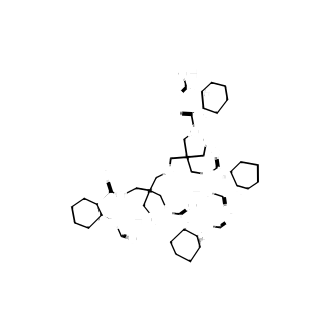 CCC(COCC(CC)(COC(=O)[C@H]1CCCC[C@H]1C(=O)O)COC(=O)[C@@H]1CCCC[C@@H]1C(=O)O)(COC(=O)[C@H]1CCCC[C@H]1OC=O)COC(=O)[C@@H]1CCCC[C@@H]1OC=O